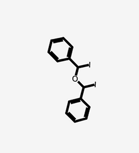 IC(OC(I)c1ccccc1)c1ccccc1